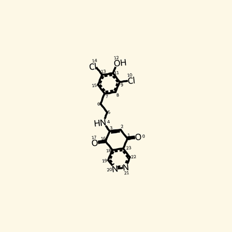 O=C1C=C(NCCc2cc(Cl)c(O)c(Cl)c2)C(=O)c2cnncc21